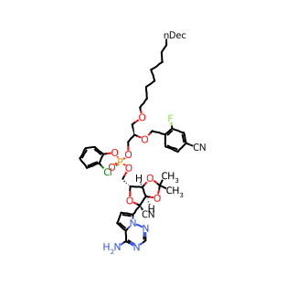 CCCCCCCCCCCCCCCCCCOC[C@H](COP(=O)(OC[C@H]1O[C@@](C#N)(c2ccc3c(N)ncnn23)[C@@H]2OC(C)(C)O[C@@H]21)Oc1ccccc1Cl)OCc1ccc(C#N)cc1F